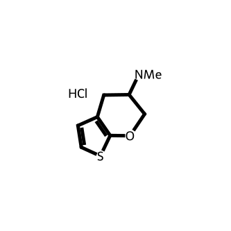 CNC1COc2sccc2C1.Cl